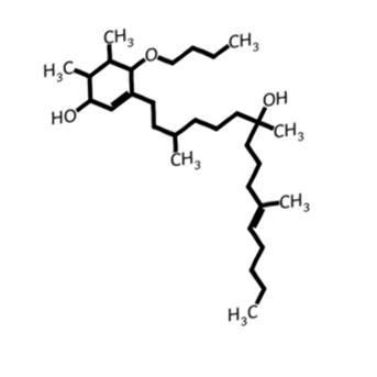 CCCC/C=C(\C)CCCC(C)(O)CCCC(C)CCC1=CC(O)C(C)C(C)C1OCCCC